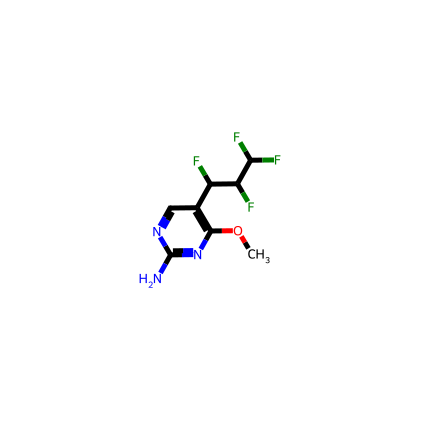 COc1nc(N)ncc1C(F)C(F)C(F)F